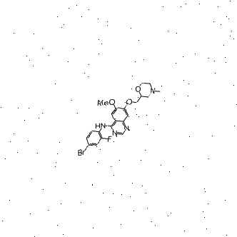 COc1cc2c(Nc3ccc(Br)cc3F)ncnc2cc1OCC1CN(C)CCO1